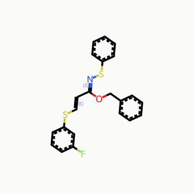 Fc1cccc(S/C=C/C(=N/Sc2ccccc2)OCc2ccccc2)c1